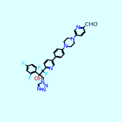 O=Cc1ccc(N2CCN(c3ccc(-c4ccc(C(F)(F)[C@](O)(Cn5cnnn5)c5ccc(F)cc5F)nc4)cc3)CC2)cn1